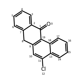 O=C1c2ccccc2Cc2cc(Cl)c3ccccc3c21